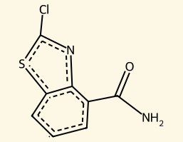 NC(=O)c1c[c]cc2sc(Cl)nc12